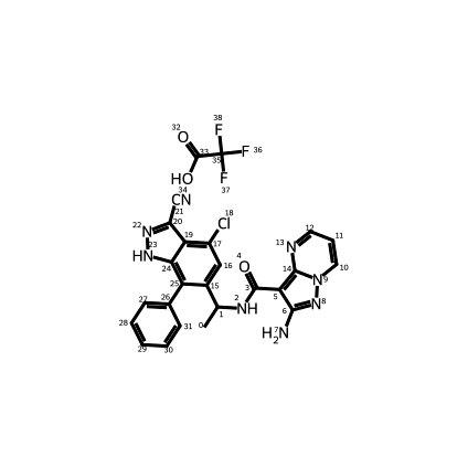 CC(NC(=O)c1c(N)nn2cccnc12)c1cc(Cl)c2c(C#N)n[nH]c2c1-c1ccccc1.O=C(O)C(F)(F)F